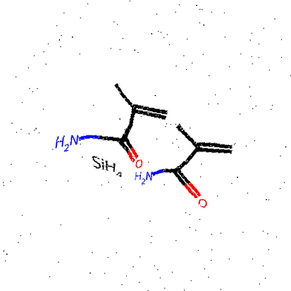 C=C(C)C(N)=O.C=C(C)C(N)=O.[SiH4]